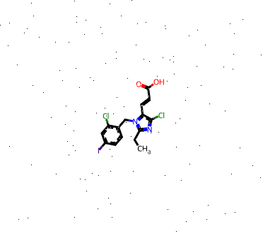 CCc1nc(Cl)c(C=CC(=O)O)n1Cc1ccc(I)cc1Cl